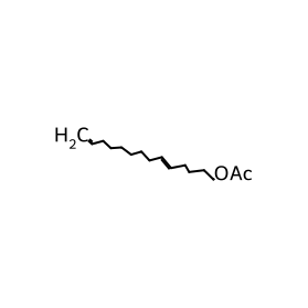 C=CCCCCCCC=CCCCCOC(C)=O